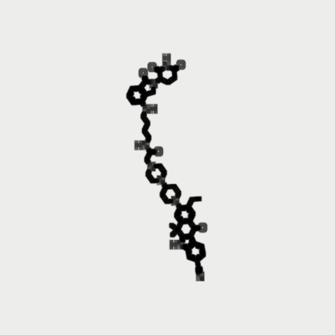 CCc1cc2c(cc1N1CCC(N3CCN(CC(=O)NCCCCNc4cccc5c4CN(C4CCC(=O)NC4=O)C5=O)CC3)CC1)C(C)(C)c1[nH]c3cc(C#N)ccc3c1C2=O